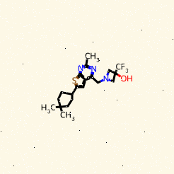 Cc1nc(CN2CC(O)(C(F)(F)F)C2)c2cc(C3CCC(C)(C)CC3)sc2n1